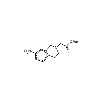 COC(=O)CN1CCc2ccc([N+](=O)[O-])cc2C1